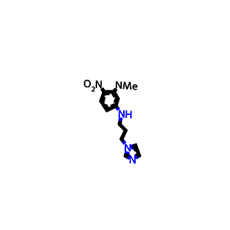 CNc1cc(NCCCn2ccnc2)ccc1[N+](=O)[O-]